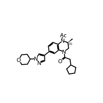 CC(=O)N1c2ccc(-c3cnn(C4CCOCC4)c3)cc2N(C(=O)CC2CCCC2)C[C@@H]1C